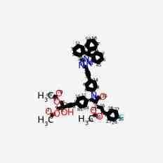 CC(=O)OCC(O)(C#Cc1ccc([C@@H]2[C@@H](CCC(OC(C)=O)c3ccc(F)cc3)C(=O)N2c2ccc(C#Cc3ncn(C(c4ccccc4)(c4ccccc4)c4ccccc4)n3)cc2)cc1)COC(C)=O